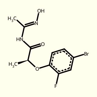 CC(=NO)NC(=O)[C@H](C)Oc1ccc(Br)cc1F